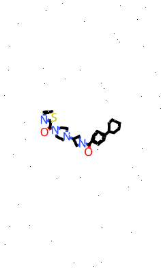 O=C(c1ccc(C2CCCCC2)cc1)N1CC(N2CCN(C(=O)c3nccs3)CC2)C1